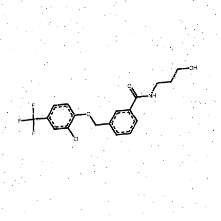 O=C(NCCCO)c1cccc(COc2ccc(C(F)(F)F)cc2Cl)c1